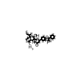 Cc1nccnc1-c1nn2c(=O)cc(-c3ccc(O[C@H](c4ccccc4)C(F)(F)F)cc3)[nH]c2c1C(=O)N1CC(CF)C1